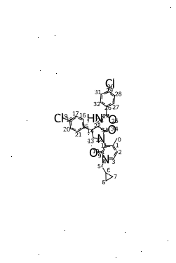 Cc1ccn(CC2CC2)c(=O)c1N1C[C@@H](c2ccc(Cl)cc2)[C@H](NC(=O)c2ccc(Cl)cc2)C1=O